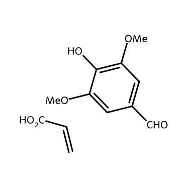 C=CC(=O)O.COc1cc(C=O)cc(OC)c1O